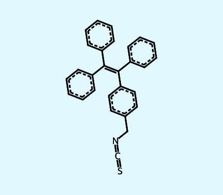 S=C=NCc1ccc(C(=C(c2ccccc2)c2ccccc2)c2ccccc2)cc1